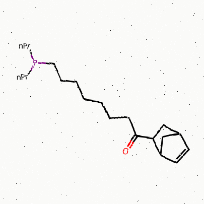 CCCP(CCC)CCCCCCCC(=O)C1CC2C=CC1C2